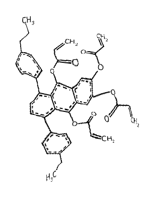 C=CC(=O)Oc1cc2c(OC(=O)C=C)c3c(-c4ccc(CC)cc4)ccc(-c4ccc(CCC)cc4)c3c(OC(=O)C=C)c2cc1OC(=O)C=C